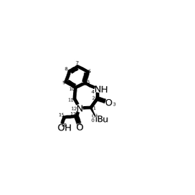 CC[C@H](C)C1C(=O)Nc2ccccc2CN1C(=O)CO